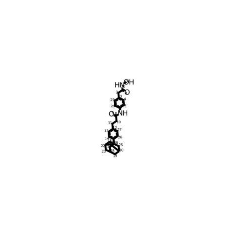 O=C(Cc1ccc(NC(=O)CCc2ccc(C34CC5CC(CC(C5)C3)C4)cc2)cc1)NO